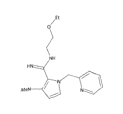 CCOCCNC(=N)c1c(NC)ccn1Cc1ccccn1